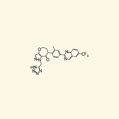 Cc1cc(-c2ncc3cc(C(F)(F)F)ccc3n2)ccc1C1CCOc2cnn(Cc3nnn[nH]3)c2C1=O